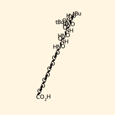 CC(C)(C)OC(=O)C[C@H](NC(=O)OC(C)(C)C)C(=O)NCC(=O)NCC(=O)NCC(=O)NCC(=O)NCCOCCOCCOCCOCCOCCOCCOCCOCCC(=O)O